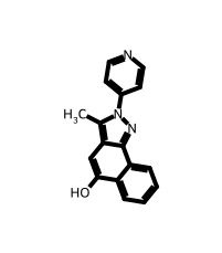 Cc1c2cc(O)c3ccccc3c2nn1-c1ccncc1